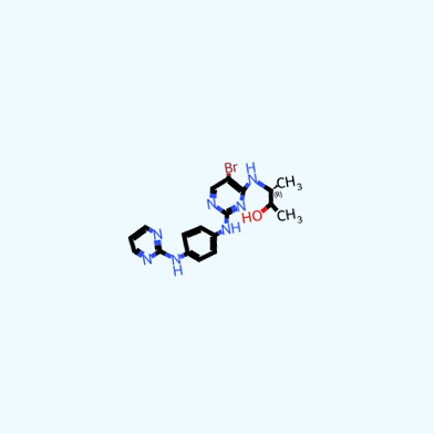 CC(O)[C@@H](C)Nc1nc(Nc2ccc(Nc3ncccn3)cc2)ncc1Br